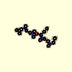 c1ccc(-c2ccc(-c3cc(-c4cccc(-c5ccccc5-n5c6ccccc6c6cc(-c7ccc8c(c7)c7ccccc7n8-c7ccc8c9ccccc9c9ccccc9c8c7)ccc65)c4)cc(-n4c5ccccc5c5cc(-c6ccc7c(c6)c6ccccc6n7-c6cccc(-c7ccccc7)c6)ccc54)c3)cc2)cc1